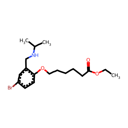 CCOC(=O)CCCCCOc1ccc(Br)cc1CNC(C)C